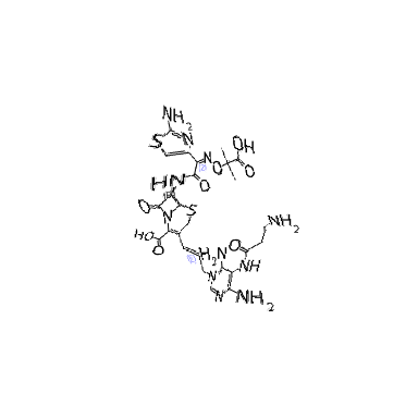 CC(C)(O/N=C(\C(=O)N[C@@H]1C(=O)N2C(C(=O)O)=C(/C=C/C[n+]3cnc(N)c(NC(=O)CCN)c3N)CSC12)c1csc(N)n1)C(=O)O